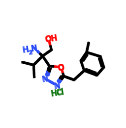 Cc1cccc(Cc2nnc(C(N)(CO)C(C)C)o2)c1.Cl